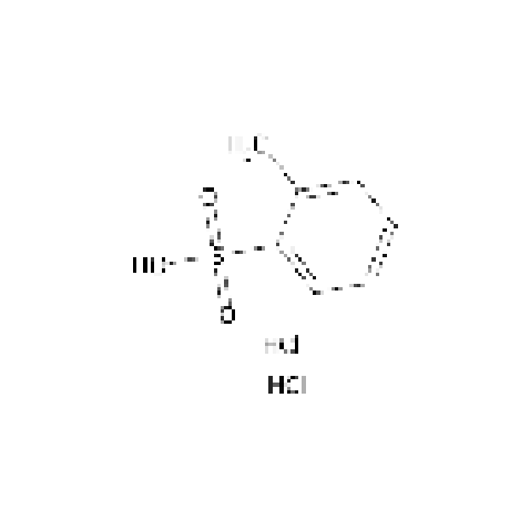 Cc1ccccc1S(=O)(=O)O.Cl.Cl